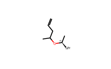 C=CCC(C)O[C@@H](C)CCC